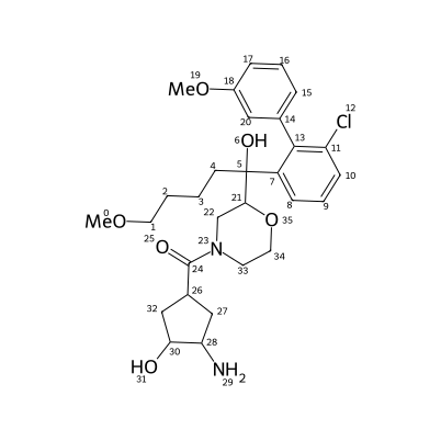 COCCCCC(O)(c1cccc(Cl)c1-c1cccc(OC)c1)C1CN(C(=O)C2CC(N)C(O)C2)CCO1